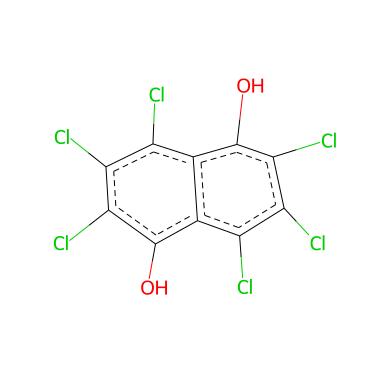 Oc1c(Cl)c(Cl)c(Cl)c2c(O)c(Cl)c(Cl)c(Cl)c12